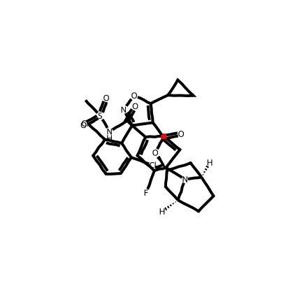 CS(=O)(=O)NC(=O)c1ccc(N2[C@@H]3CC[C@H]2C[C@@H](OC(=O)c2c(-c4c(Cl)cccc4Cl)noc2C2CC2)C3)c(F)c1